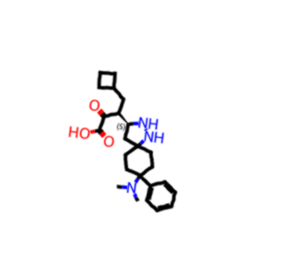 CN(C)C1(c2ccccc2)CCC2(CC1)C[C@@H](C(CC1CCC1)C(=O)C(=O)O)NN2